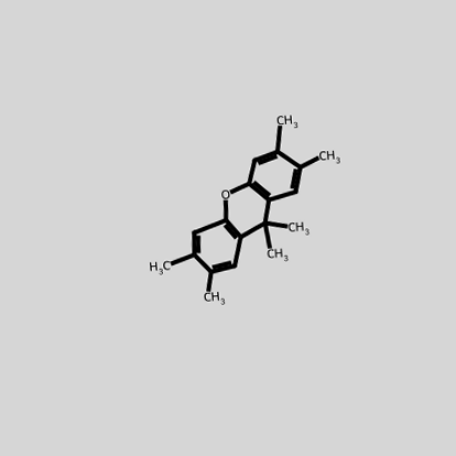 Cc1cc2c(cc1C)C(C)(C)c1cc(C)c(C)cc1O2